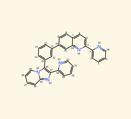 c1ccc(-c2ccc3ccc(-c4cccc(-c5c(-c6ccccn6)nc6ccccn56)c4)cc3n2)nc1